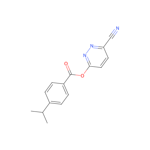 CC(C)c1ccc(C(=O)Oc2ccc(C#N)nn2)cc1